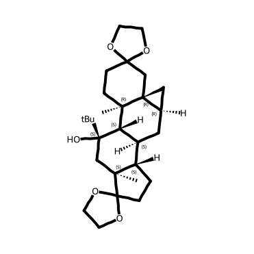 CC(C)(C)[C@]1(O)C[C@@]2(C)[C@@H](CCC23OCCO3)[C@@H]2C[C@@H]3C[C@@]34CC3(CC[C@]4(C)[C@H]21)OCCO3